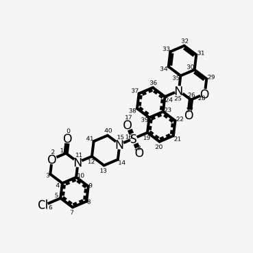 O=C1OCc2c(Cl)cccc2N1C1CCN(S(=O)(=O)c2cccc3c(N4C(=O)OC=C5C=CC=CC54)cccc23)CC1